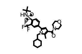 Cc1c(C(=O)N2CCOCC2)cc(-c2ccc(S(=O)(=O)NC(C)(C)C)c(C(F)(F)F)c2)n1CC1CCCCC1